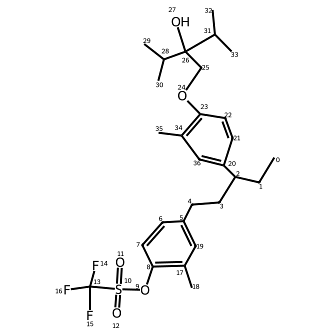 CCC(CCc1ccc(OS(=O)(=O)C(F)(F)F)c(C)c1)c1ccc(OCC(O)(C(C)C)C(C)C)c(C)c1